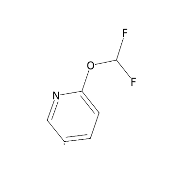 FC(F)Oc1cc[c]cn1